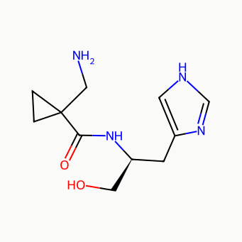 NCC1(C(=O)N[C@H](CO)Cc2c[nH]cn2)CC1